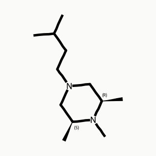 CC(C)CCN1C[C@@H](C)N(C)[C@@H](C)C1